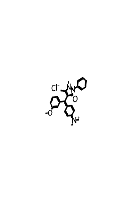 COc1cccc(C(=C2C=CC(=[N+](C)C)C=C2)c2c(C)n(C)n(-c3ccccc3)c2=O)c1.[Cl-]